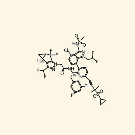 CC(C)(C#Cc1ccc(-c2ccc(Cl)c3c(NS(C)(=O)=O)nn(CC(F)F)c23)c([C@H](Cc2cc(F)cc(F)c2)NC(=O)Cn2nc(C(F)F)c3c2C(F)(F)C2C[C@H]32)n1)S(=O)(=O)C1CC1